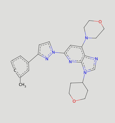 Cc1cccc(-c2ccn(-c3cc(N4CCOCC4)c4ncn(C5CCOCC5)c4n3)n2)c1